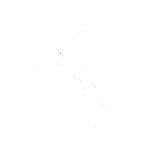 Cc1ccccc1-n1nc(-c2ccc(Cl)cc2)c(/C=C2\NC(=O)N(Cc3ccc(F)cc3F)C2=O)c1O